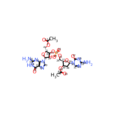 CC(=O)OC[C@H]1O[C@@H](n2cnc3c(=O)[nH]c(N)nc32)CC1OP(=O)(O)OC[C@H]1O[C@@H](n2cnc(N)nc2=O)CC1OC(C)=O